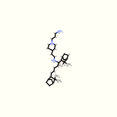 CC1(C)C2CCC(C2)C1CCCCC(NCCC1CCN(CCCN)CC1)C1C2CCC(C2)C1(C)C